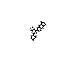 CC(C)OC1CC(C2=CCC3CC4CCCCC4CC3C2)NC(C2CCC=CC2O)=N1